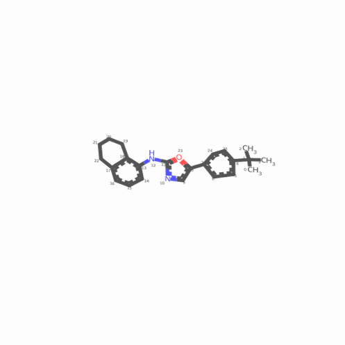 CC(C)(C)c1ccc(-c2cnc(Nc3cccc4c3CCCC4)o2)cc1